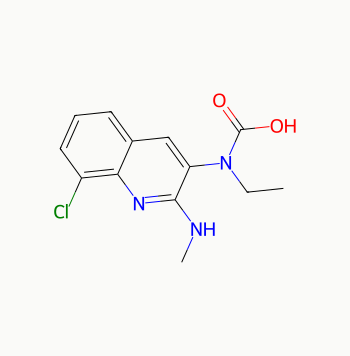 CCN(C(=O)O)c1cc2cccc(Cl)c2nc1NC